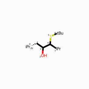 [CH2][C@@H](C)CC(O)C(SC(C)(C)C)C(C)C